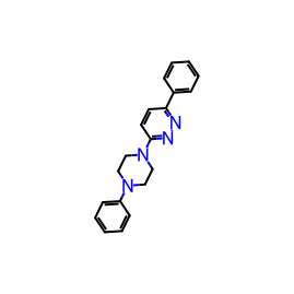 c1ccc(-c2ccc(N3CCN(c4ccccc4)CC3)nn2)cc1